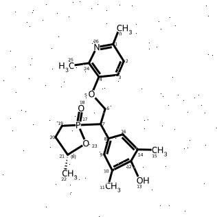 Cc1ccc(OCC(c2cc(C)c(O)c(C)c2)P2(=O)CC[C@@H](C)O2)c(C)n1